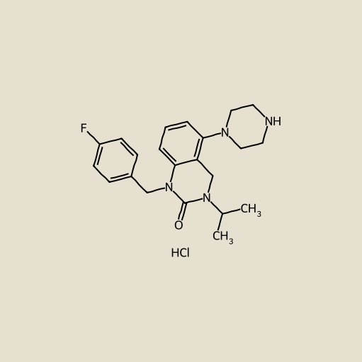 CC(C)N1Cc2c(N3CCNCC3)cccc2N(Cc2ccc(F)cc2)C1=O.Cl